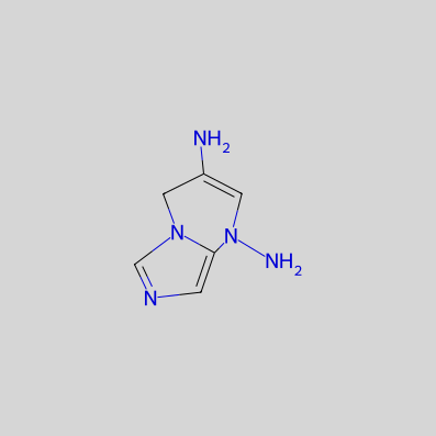 NC1=CN(N)c2cncn2C1